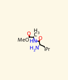 COC(=O)[C@H](C)NC(=O)[C@@H](N)CC(C)C